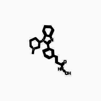 CN1CCCC(n2c(-c3cccc(C=CC(=O)NO)c3)nc3ccccc32)C1